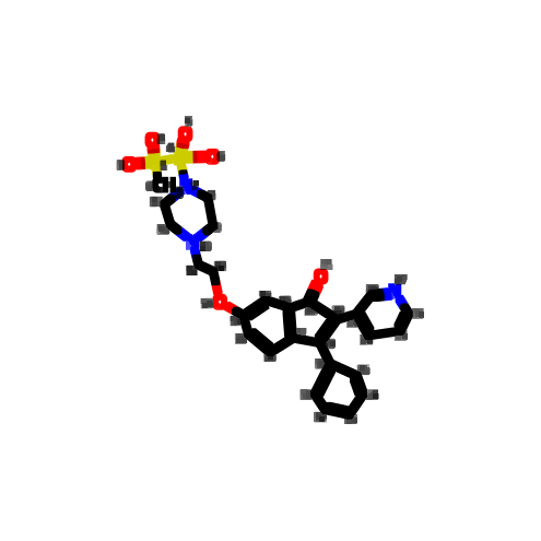 CS(=O)(=O)S(=O)(=O)N1CCN(CCOc2ccc3c(c2)C(=O)C(c2cccnc2)=C3c2ccccc2)CC1